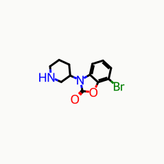 O=c1oc2c(Br)cccc2n1C1CCCNC1